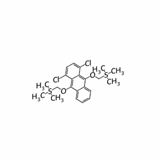 CS(C)(C)COc1c2ccccc2c(OCS(C)(C)C)c2c(Cl)ccc(Cl)c12